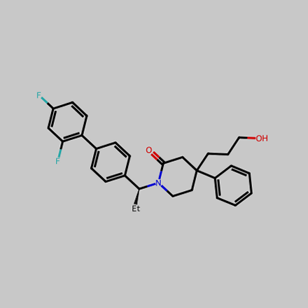 CC[C@@H](c1ccc(-c2ccc(F)cc2F)cc1)N1CCC(CCCO)(c2ccccc2)CC1=O